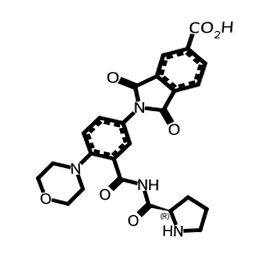 O=C(O)c1ccc2c(c1)C(=O)N(c1ccc(N3CCOCC3)c(C(=O)NC(=O)[C@H]3CCCN3)c1)C2=O